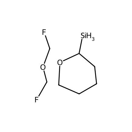 FCOCF.[SiH3]C1CCCCO1